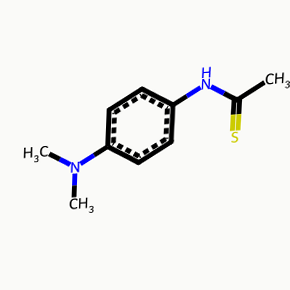 CC(=S)Nc1ccc(N(C)C)cc1